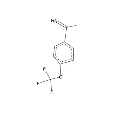 CC(=N)c1ccc(OC(F)(F)F)cc1